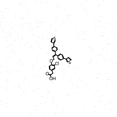 O=C(O)Cc1ccc(OCC=C(c2ccc(-c3ccsc3)cc2)c2ccc(-c3ccsc3)cc2)c(Cl)c1